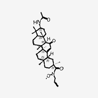 C=CCN(OC)C(=O)[C@@]1(C)CC[C@]2(C)CC[C@]3(C)C(=CC(=O)[C@@H]4[C@@]5(C)CC[C@H](NC(C)=O)C(C)(C)C5CC[C@]43C)[C@@H]2C1